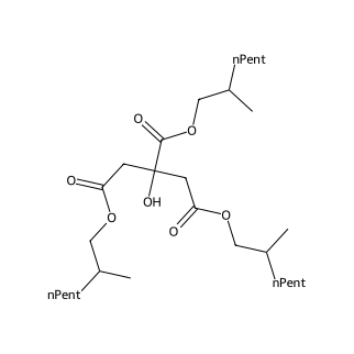 CCCCCC(C)COC(=O)CC(O)(CC(=O)OCC(C)CCCCC)C(=O)OCC(C)CCCCC